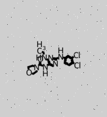 CCNc1nc(Nc2ccc(Cl)c(Cl)c2)ncc1NC(=O)N1CCOCC1